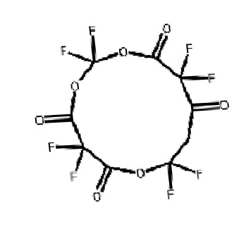 O=C1CC(F)(F)OC(=O)C(F)(F)C(=O)OC(F)(F)OC(=O)C1(F)F